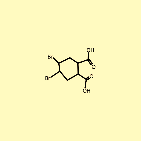 O=C(O)C1CC(Br)C(Br)CC1C(=O)O